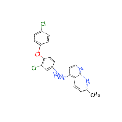 Cc1ccc2c(Nc3ccc(Oc4ccc(Cl)cc4)c(Cl)c3)ccnc2n1